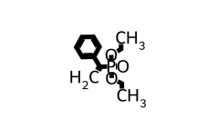 C=C(c1ccccc1)P(=O)(OCC)OCC